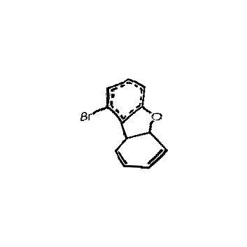 Brc1cccc2c1C1C=CC=CC1O2